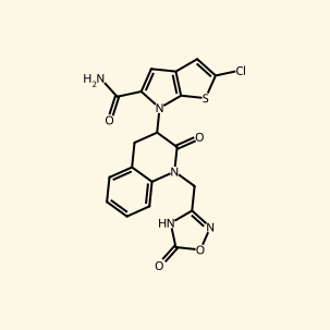 NC(=O)c1cc2cc(Cl)sc2n1C1Cc2ccccc2N(Cc2noc(=O)[nH]2)C1=O